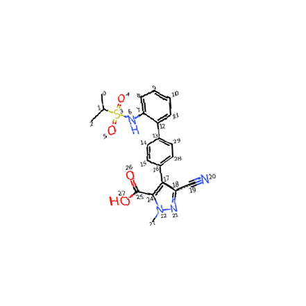 CC(C)S(=O)(=O)Nc1ccccc1-c1ccc(-c2c(C#N)nn(C)c2C(=O)O)cc1